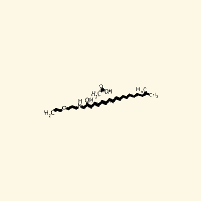 C=CCOCCCNCC(O)CCCCCCCCCCCCCCCC(C)C.CC(=O)O